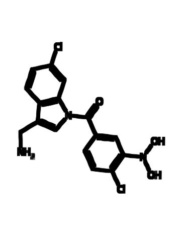 NCc1cn(C(=O)c2ccc(Cl)c(N(O)O)c2)c2cc(Cl)ccc12